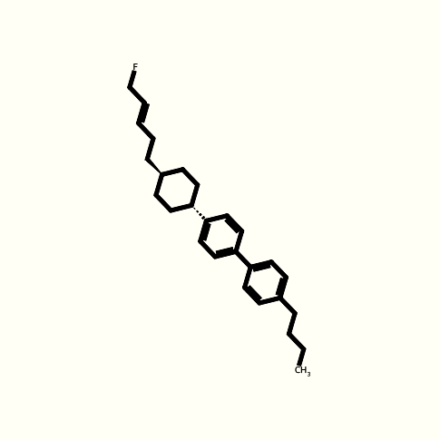 CCCCc1ccc(-c2ccc([C@H]3CC[C@H](CCC=CCF)CC3)cc2)cc1